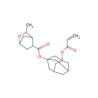 C=CC(=O)OC12CC3CC(C1)CC(OC(=O)C1CC4CC1C(C)O4)(C3)C2